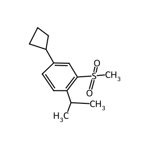 CC(C)c1ccc(C2CCC2)cc1S(C)(=O)=O